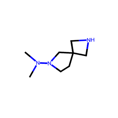 CN(C)N1CCC2(CNC2)C1